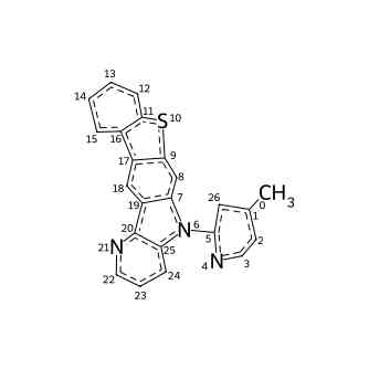 Cc1ccnc(-n2c3cc4sc5ccccc5c4cc3c3ncccc32)c1